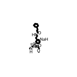 CNC(=S)NS(=O)(=O)c1cc(CCNC(=O)C=Cc2ccccc2)ccc1OCCOC.[NaH]